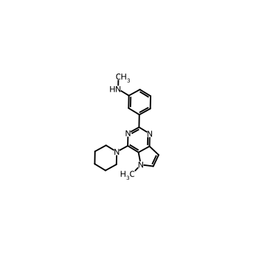 CNc1cccc(-c2nc(N3CCCCC3)c3c(ccn3C)n2)c1